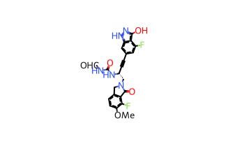 COc1ccc2c(c1F)C(=O)N(C[C@@H](C#Cc1cc(F)c3c(O)n[nH]c3c1)NC(=O)NC=O)C2